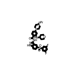 CCCN1CCN(c2ccc(C(=O)Nc3n[nH]c4ccc(S(=O)(=O)c5cc(F)cc(F)c5)cc34)c(NC3CCOCC3)c2)CC1